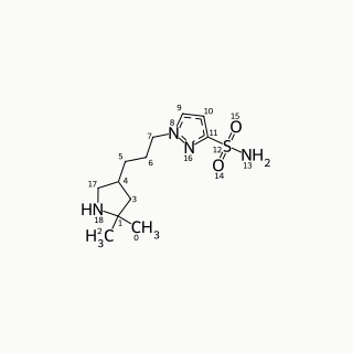 CC1(C)CC(CCCn2ccc(S(N)(=O)=O)n2)CN1